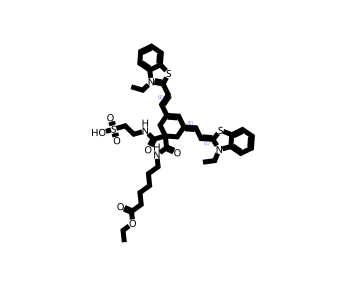 CCOC(=O)CCCCCNC(=O)C1(C(=O)NCCS(=O)(=O)O)CC(/C=C/c2sc3ccccc3[n+]2CC)=CC(=C/C=C2\Sc3ccccc3N2CC)/C1